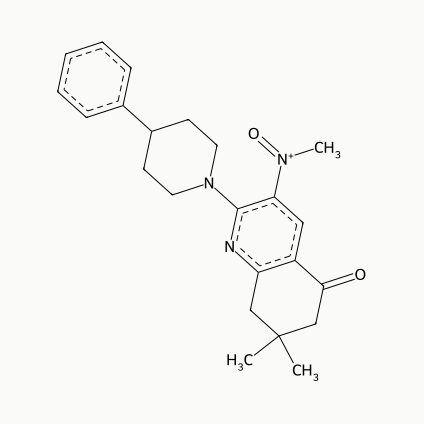 C[N+](=O)c1cc2c(nc1N1CCC(c3ccccc3)CC1)CC(C)(C)CC2=O